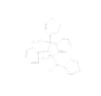 CC(C)COC(C(=O)c1ccccc1)c1ccccc1C(OCC(C)C)(C(=O)c1ccccc1)c1ccccc1